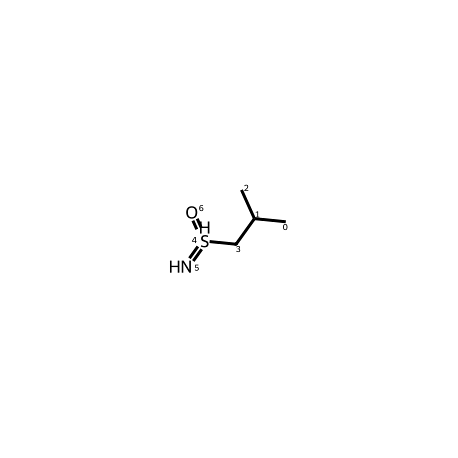 CC(C)C[SH](=N)=O